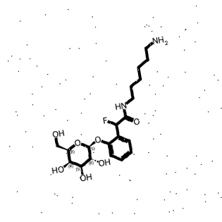 NCCCCCCNC(=O)C(F)c1ccccc1O[C@@H]1O[C@H](CO)[C@H](O)[C@H](O)[C@H]1O